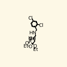 CCOC(CCCNCc1ccc(Cl)cc1Cl)(OCC)[PH](=O)O